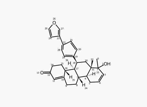 CC1(O)C=CC[C@H]2[C@@H]3CCC4=CC(=O)CC[C@@H]4[C@H]3[C@@H](c3ccc(-c4ccoc4)cc3)C[C@@]21C